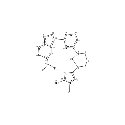 Cn1nc(C2CCCN(c3ccnc(-c4cnc5cnc(C(F)F)cn45)n3)C2)cc1O